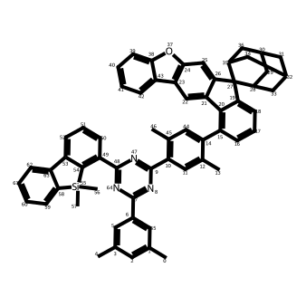 Cc1cc(C)cc(-c2nc(-c3cc(C)c(-c4cccc5c4-c4cc6c(cc4C54C5CC7CC(C5)CC4C7)oc4ccccc46)cc3C)nc(-c3cccc4c3[Si](C)(C)c3ccccc3-4)n2)c1